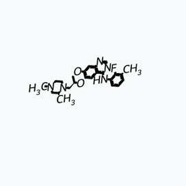 Cc1cccc(Nc2ncnc3cc4c(cc23)O[C@@H](CN2CCN(C)C[C@@H]2C)CO4)c1F